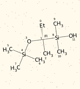 CC[C@](C)(O[Si](C)(C)C)[Si](C)(C)O